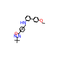 CCOc1ccc(-c2cccc(NCC34CCC(c5nc(C(C)(C)C)no5)(CC3)CC4)c2)cc1